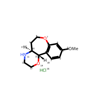 COc1ccc2c(c1)OCC[C@@H]1NCCO[C@@H]21.Cl